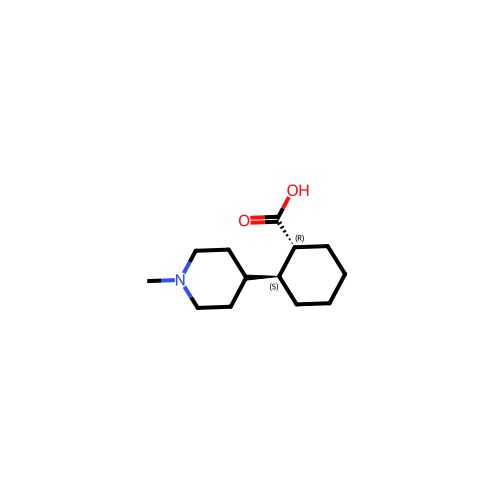 CN1CCC([C@@H]2CCCC[C@H]2C(=O)O)CC1